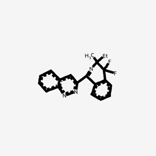 CCC1(C)N=C(c2cc3ccccc3nn2)c2ccccc2C1(F)F